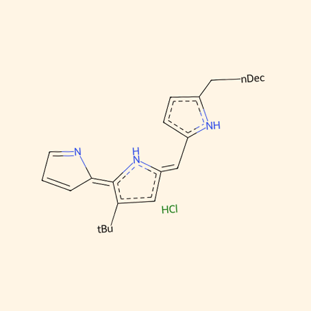 CCCCCCCCCCCc1ccc(C=c2cc(C(C)(C)C)c(=C3C=CC=N3)[nH]2)[nH]1.Cl